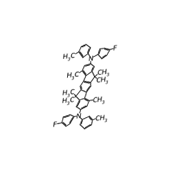 Cc1cccc(N(c2ccc(F)cc2)c2cc(C)c3c(c2)C(C)(C)c2cc4c(cc2-3)C(C)(C)c2cc(N(c3ccc(F)cc3)c3cccc(C)c3)cc(C)c2-4)c1